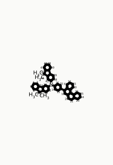 CC1(C)c2ccccc2-c2cc(N(c3ccc(-c4cc5ccc6ccccc6c5c5ccccc45)cc3)c3ccc4c(c3)C(C)(C)c3ccccc3-4)ccc21